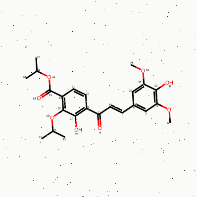 COc1cc(/C=C/C(=O)c2ccc(C(=O)OC(C)C)c(OC(C)C)c2O)cc(OC)c1O